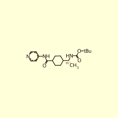 C[C@@H](NC(=O)OC(C)(C)C)C1CCC(C(=O)Nc2ccncc2)CC1